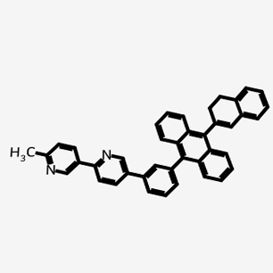 Cc1ccc(-c2ccc(-c3cccc(-c4c5ccccc5c(C5=Cc6ccccc6CC5)c5ccccc45)c3)cn2)cn1